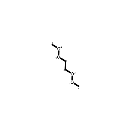 COOCCOOC